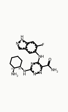 NC(=O)c1nnc(N[C@@H]2CCCC[C@@H]2N)nc1Nc1cc2cn[nH]c2cc1F